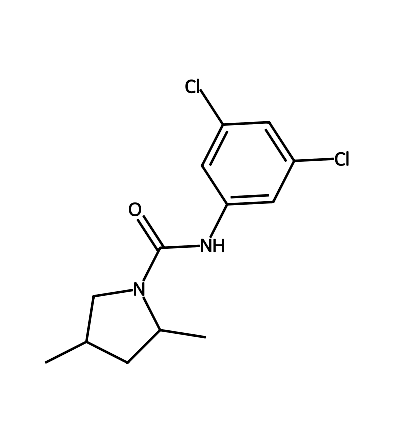 CC1CC(C)N(C(=O)Nc2cc(Cl)cc(Cl)c2)C1